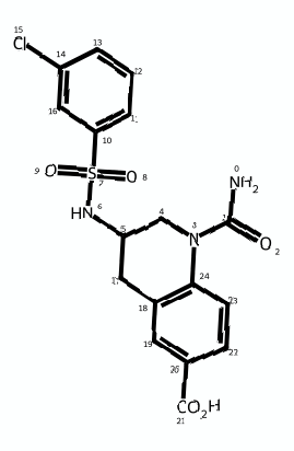 NC(=O)N1CC(NS(=O)(=O)c2cccc(Cl)c2)Cc2cc(C(=O)O)ccc21